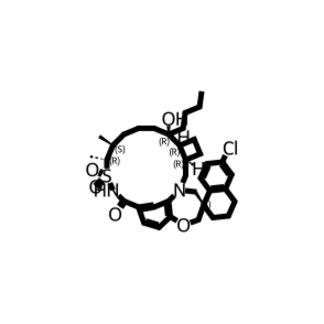 CCCC[C@@]1(O)CCC[C@H](C)[C@@H](C)S(=O)(=O)NC(=O)c2ccc3c(c2)N(C[C@@H]2CC[C@H]21)C[C@@]1(CCCc2cc(Cl)ccc21)CO3